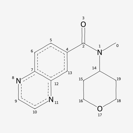 CN(C(=O)c1ccc2nccnc2c1)C1CCOCC1